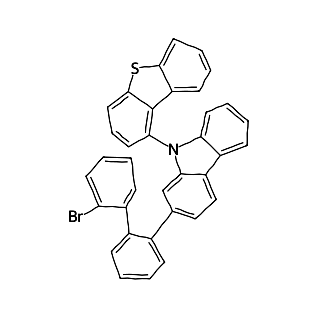 Brc1ccccc1-c1ccccc1-c1ccc2c3ccccc3n(-c3cccc4sc5ccccc5c34)c2c1